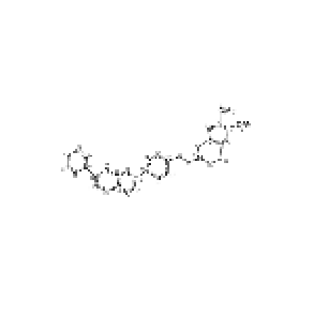 COc1cc2c(cc1OC)CN(CCc1ccc(-c3ccc4cnc(-c5ccccc5)nc4c3)cc1)CC2